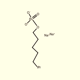 CC(C)CCCCCO[As](=O)([O-])[O-].[Na+].[Na+]